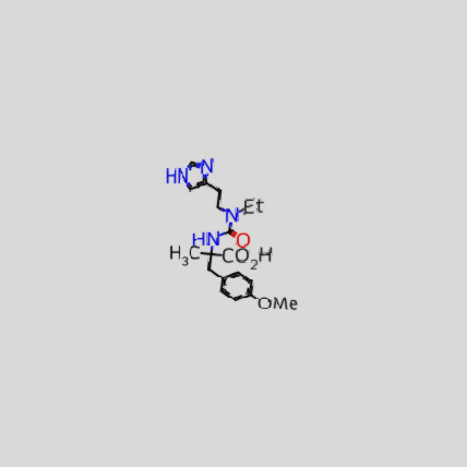 CCN(CCc1c[nH]cn1)C(=O)NC(C)(Cc1ccc(OC)cc1)C(=O)O